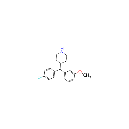 COc1cccc(C(c2ccc(F)cc2)C2CCNCC2)c1